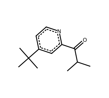 CC(C)C(=O)c1cc(C(C)(C)C)ccn1